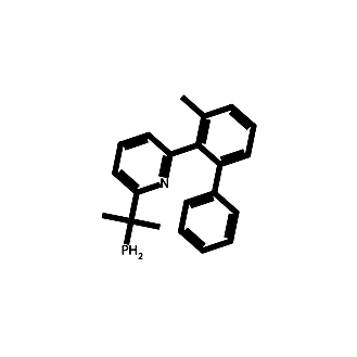 Cc1cccc(-c2ccccc2)c1-c1cccc(C(C)(C)P)n1